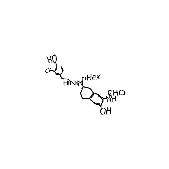 CCCCCCN(NCCc1ccc(O)c(Cl)c1)C1CCc2cc(O)c(NC=O)cc2C1